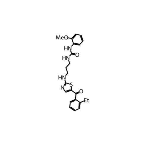 CCc1ccccc1C(=O)c1cnc(NCCCNC(=O)Nc2ccccc2OC)s1